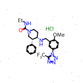 CCNC(=O)N1CC[C@H](NCc2cc(-n3nnnc3C(F)(F)F)ccc2OC)[C@H](c2ccccc2)C1.Cl